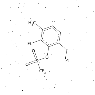 CCc1c(C)ccc(CC(C)C)c1OS(=O)(=O)C(F)(F)F